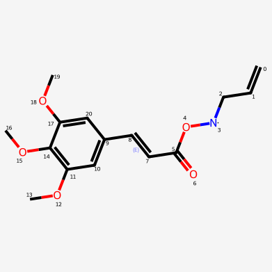 C=CC[N]OC(=O)/C=C/c1cc(OC)c(OC)c(OC)c1